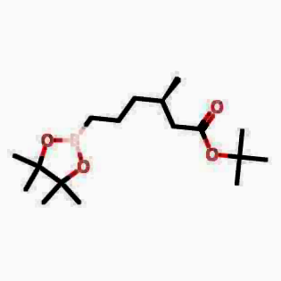 C[C@H](CCCB1OC(C)(C)C(C)(C)O1)CC(=O)OC(C)(C)C